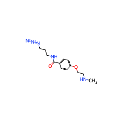 CNCCOc1ccc(C(=O)NCCCN=[N+]=[N-])cc1